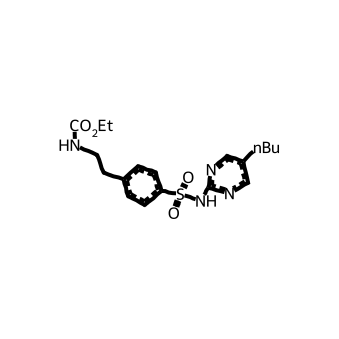 CCCCc1cnc(NS(=O)(=O)c2ccc(CCNC(=O)OCC)cc2)nc1